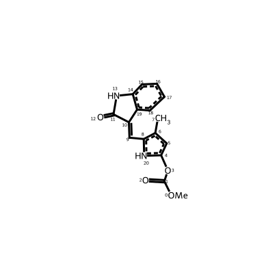 COC(=O)Oc1cc(C)c(C=C2C(=O)Nc3ccccc32)[nH]1